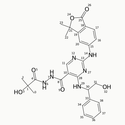 CC(C)(O)C(=O)NNC(=O)c1cnc(Nc2ccc3c(c2)C(C)(C)OC3=O)nc1NC(CO)c1ccccc1